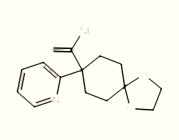 NC(=O)C1(c2ccccn2)CCC2(CC1)OCCO2